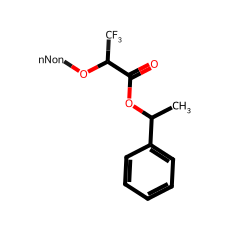 CCCCCCCCCOC(C(=O)OC(C)c1ccccc1)C(F)(F)F